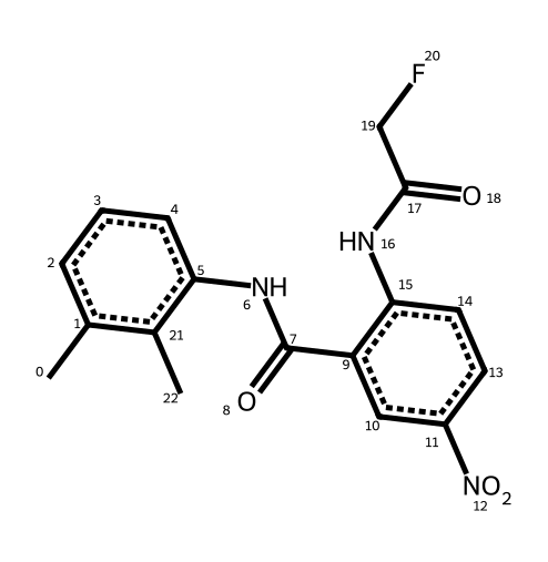 Cc1cccc(NC(=O)c2cc([N+](=O)[O-])ccc2NC(=O)CF)c1C